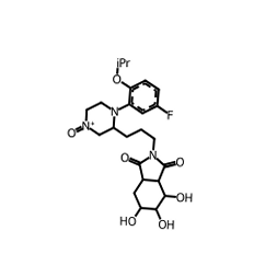 CC(C)Oc1ccc(F)cc1N1CC[N+](=O)CC1CCCN1C(=O)C2CC(O)C(O)C(O)C2C1=O